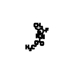 CCOC(=O)c1nc2n(n1)C(CC)CC2F